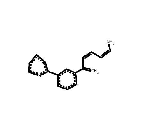 C=C(/C=C\C=C/N)c1cccc(-c2ccccn2)c1